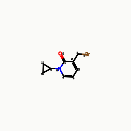 O=c1c(CBr)cccn1C1CC1